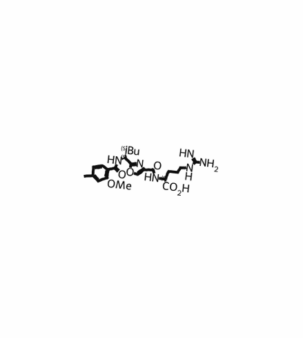 CC[C@H](C)[C@H](NC(=O)c1ccc(C)cc1OC)c1nc(C(=O)N[C@@H](CCCNC(=N)N)C(=O)O)co1